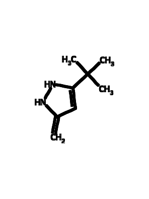 C=C1C=C(C(C)(C)C)NN1